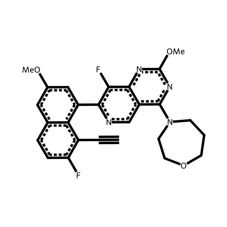 C#Cc1c(F)ccc2cc(OC)cc(-c3ncc4c(N5CCCOCC5)nc(OC)nc4c3F)c12